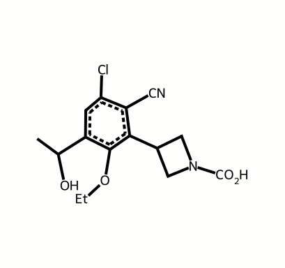 CCOc1c(C(C)O)cc(Cl)c(C#N)c1C1CN(C(=O)O)C1